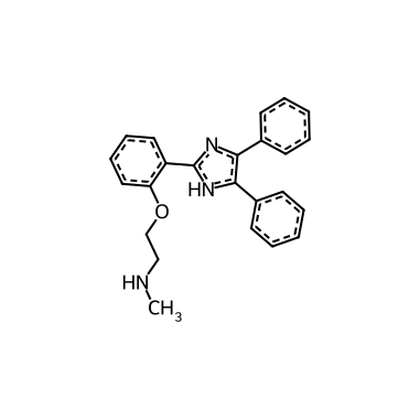 CNCCOc1ccccc1-c1nc(-c2ccccc2)c(-c2ccccc2)[nH]1